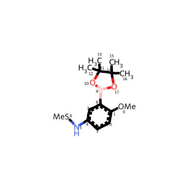 COc1ccc(NSC)cc1B1OC(C)(C)C(C)(C)O1